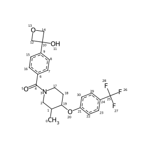 CC1CN(C(=O)c2ccc(C3(O)COC3)cc2)CCC1Oc1ccc(C(F)(F)F)cc1